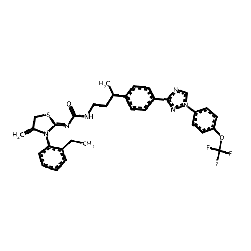 C=C1CS/C(=N\C(=O)NCCC(C)c2ccc(-c3ncn(-c4ccc(OC(F)(F)F)cc4)n3)cc2)N1c1ccccc1CC